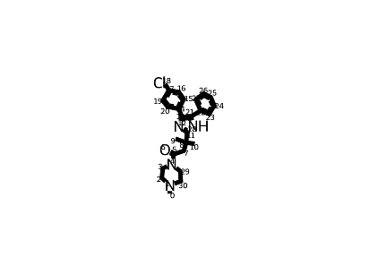 CN1CCN(C(=O)CC(C)(C)c2nc(-c3ccc(Cl)cc3)c(-c3ccccc3)[nH]2)CC1